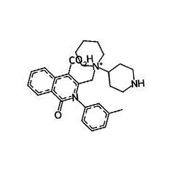 Cc1cccc(-n2c(C[N+]3(C4CCNCC4)CCCCC3)c(C(=O)O)c3ccccc3c2=O)c1